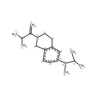 C=C(C(C)C)N1CCc2cc(N(C)C(C)C)ccc2C1